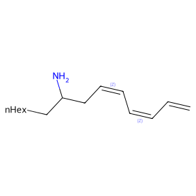 C=C/C=C\C=C/CC(N)CCCCCCC